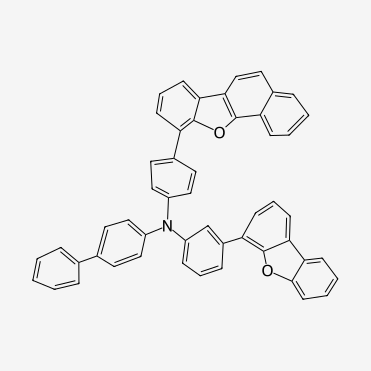 c1ccc(-c2ccc(N(c3ccc(-c4cccc5c4oc4c6ccccc6ccc54)cc3)c3cccc(-c4cccc5c4oc4ccccc45)c3)cc2)cc1